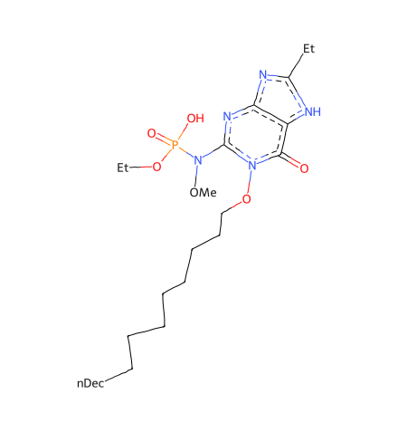 CCCCCCCCCCCCCCCCCCOn1c(N(OC)P(=O)(O)OCC)nc2nc(CC)[nH]c2c1=O